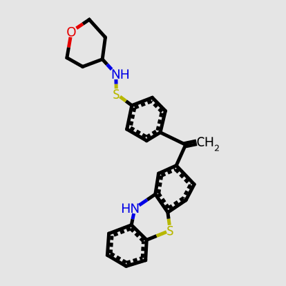 C=C(c1ccc(SNC2CCOCC2)cc1)c1ccc2c(c1)Nc1ccccc1S2